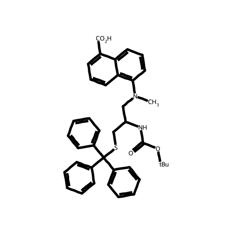 CN(CC(CSC(c1ccccc1)(c1ccccc1)c1ccccc1)NC(=O)OC(C)(C)C)c1cccc2c(C(=O)O)cccc12